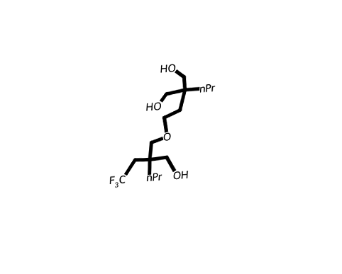 CCCC(CO)(CO)CCOCC(CO)(CCC)CC(F)(F)F